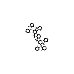 Cc1ccccc1N(c1ccccc1C)c1cc2c(c3c1oc1ccccc13)-c1ccc3c(c1C2(C)C)C(C)(C)c1cc(N(c2ccccc2C)c2ccccc2C)c2oc4ccccc4c2c1-3